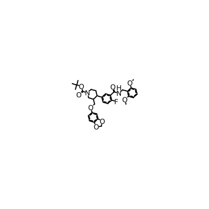 COc1cccc(OC)c1CNC(=O)c1cc(C2CCN(C(=O)OC(C)(C)C)CC2COc2ccc3c(c2)OCO3)ccc1F